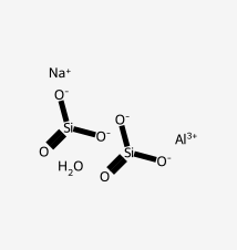 O.O=[Si]([O-])[O-].O=[Si]([O-])[O-].[Al+3].[Na+]